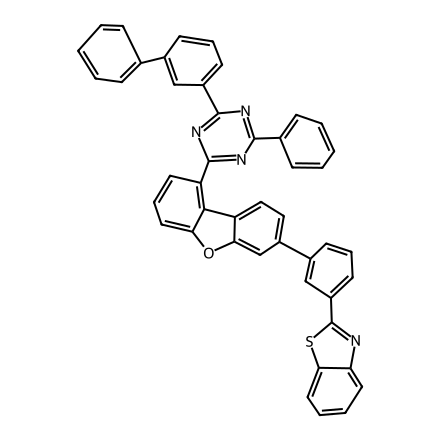 c1ccc(-c2cccc(-c3nc(-c4ccccc4)nc(-c4cccc5oc6cc(-c7cccc(-c8nc9ccccc9s8)c7)ccc6c45)n3)c2)cc1